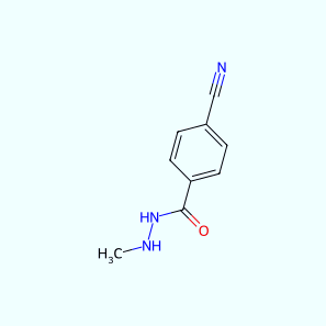 CNNC(=O)c1ccc(C#N)cc1